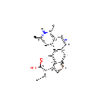 CCC(C(=O)O)c1csc2cc(/C=C\c3ccc(C)nc3C)ccc12